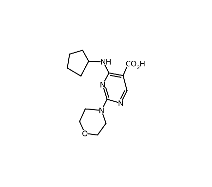 O=C(O)c1cnc(N2CCOCC2)nc1NC1CCCC1